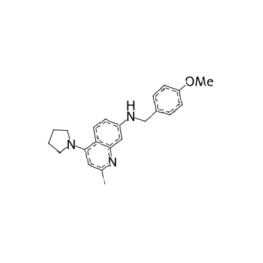 COc1ccc(CNc2ccc3c(N4CCCC4)cc(C)nc3c2)cc1